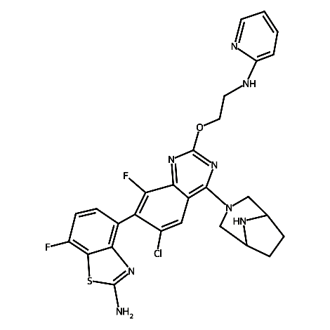 Nc1nc2c(-c3c(Cl)cc4c(N5CC6CCC(C5)N6)nc(OCCNc5ccccn5)nc4c3F)ccc(F)c2s1